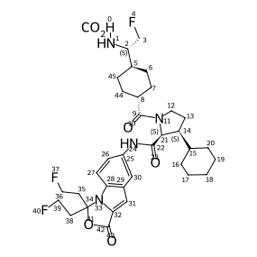 O=C(O)N[C@H](CF)[C@H]1CC[C@H](C(=O)N2CC[C@@H](C3CCCCC3)[C@H]2C(=O)Nc2ccc3c(c2)cc2n3C(CCF)(CCF)OC2=O)CC1